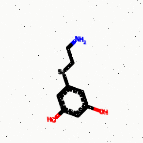 NCC[Se]c1cc(O)cc(O)c1